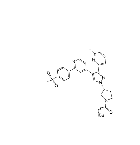 Cc1cccc(-c2nn([C@@H]3CCN(C(=O)OC(C)(C)C)C3)cc2-c2ccnc(-c3ccc(S(C)(=O)=O)cc3)c2)n1